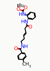 Cc1ccc(C(=O)NCC/C=C/CC(=O)Nc2ccccc2NC(=O)OC(C)(C)C)cc1